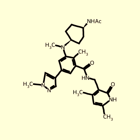 CC(=O)N[C@H]1CC[C@@H](N(C)c2cc(-c3cnn(C)c3)cc(C(=O)NCc3c(C)cc(C)[nH]c3=O)c2C)CC1